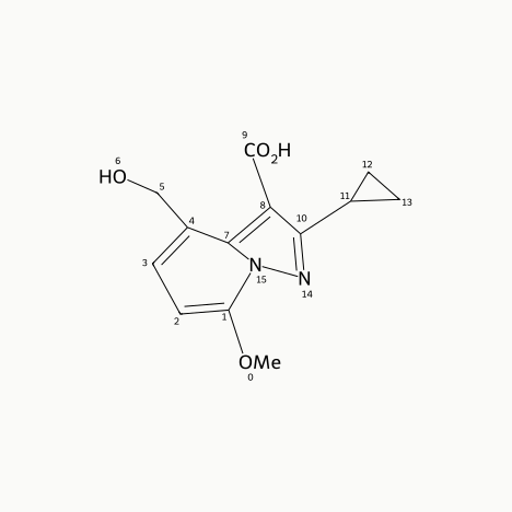 COc1ccc(CO)c2c(C(=O)O)c(C3CC3)nn12